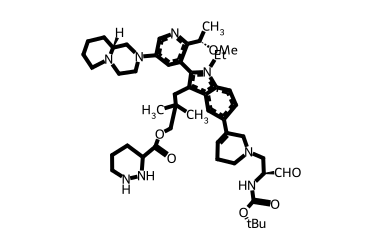 CCn1c(-c2cc(N3CCN4CCCC[C@@H]4C3)cnc2[C@H](C)OC)c(CC(C)(C)COC(=O)C2CCCNN2)c2cc(C3=CCCN(C[C@@H](C=O)NC(=O)OC(C)(C)C)C3)ccc21